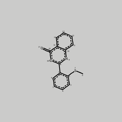 CSc1ccccc1-c1nc2ccccc2c(=O)o1